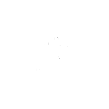 CC(=N)c1ncc(C)cc1C